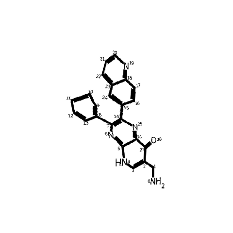 NCc1c[nH]c2nc(-c3ccccc3)c(-c3ccc4ncccc4c3)nc2c1=O